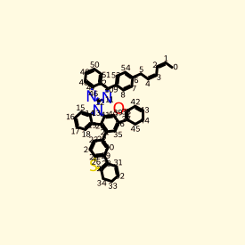 C/C=C\C=C/Cc1ccc(-c2nc(-n3c4ccccc4c4c(-c5ccc6sc7c(c6c5)C=CCC7)cc5c6c(oc5c43)C=CCC6)nc3ccccc23)cc1